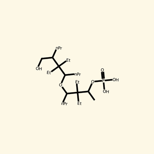 CCCC(CO)C(CC)(CC)C(CCC)OC(CCC)C(CC)(CC)C(C)OP(=O)(O)O